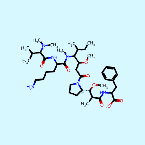 CCC(C)C(C(CC(=O)N1CCC[C@H]1C(OC)C(C)C(=O)NC(Cc1ccccc1)C(=O)O)OC)N(C)C(=O)C(CCCCN)NC(=O)C(C(C)C)N(C)C